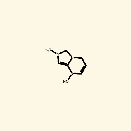 NN1C=C2N(O)C=CCN2C1